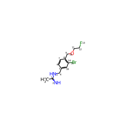 CC(=N)NCc1ccc(COCCF)c(Br)c1